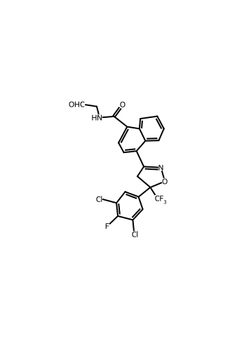 O=CCNC(=O)c1ccc(C2=NOC(c3cc(Cl)c(F)c(Cl)c3)(C(F)(F)F)C2)c2ccccc12